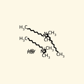 Br.Br.CCCCCCCCCCc1c(C)nn(CCCCCCCCCC)c1C.CCCCCCCCCCn1nc(C)cc1C